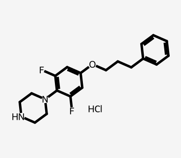 Cl.Fc1cc(OCCCc2ccccc2)cc(F)c1N1CCNCC1